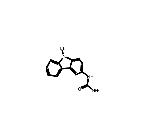 CCn1c2ccccc2c2cc(NC([NH])=O)ccc21